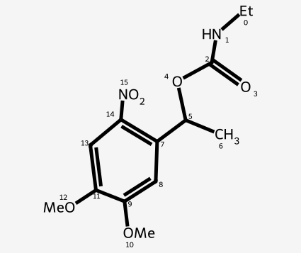 CCNC(=O)OC(C)c1cc(OC)c(OC)cc1[N+](=O)[O-]